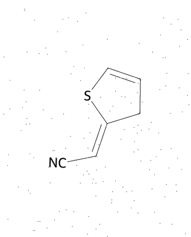 N#CC=C1CC=CS1